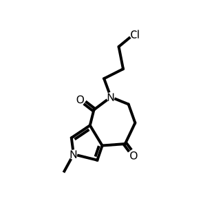 Cn1cc2c(c1)C(=O)N(CCCCl)CCC2=O